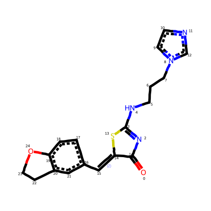 O=C1N=C(NCCCn2ccnc2)S/C1=C\c1ccc2c(c1)CCO2